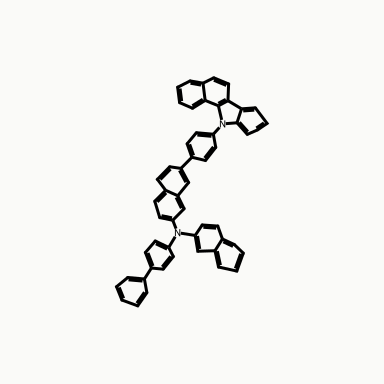 c1ccc(-c2ccc(N(c3ccc4ccccc4c3)c3ccc4ccc(-c5ccc(-n6c7ccccc7c7ccc8ccccc8c76)cc5)cc4c3)cc2)cc1